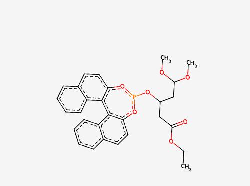 CCOC(=O)CC(CC(OC)OC)Op1oc2ccc3ccccc3c2c2c(ccc3ccccc32)o1